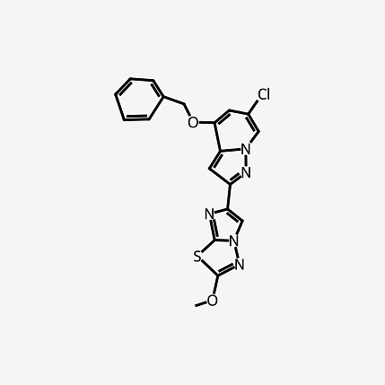 COc1nn2cc(-c3cc4c(OCc5ccccc5)cc(Cl)cn4n3)nc2s1